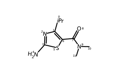 CC(C)c1nc(N)sc1C(=O)N(C)C